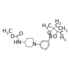 COC(=O)NC1CCN(c2cccc(B3OC(C)(C)C(C)(C)O3)c2)CC1